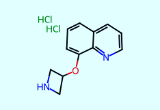 Cl.Cl.c1cnc2c(OC3CNC3)cccc2c1